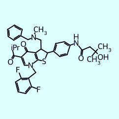 CC(C)C(=O)c1cn(Cc2c(F)cccc2F)c2c(c1=O)C(CN(C)Cc1ccccc1)C(c1ccc(NC(=O)CC(C)(C)O)cc1)S2